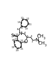 CN(C)CCC1CN(Cc2ccccc2)C(=S)c2ccccc2O1